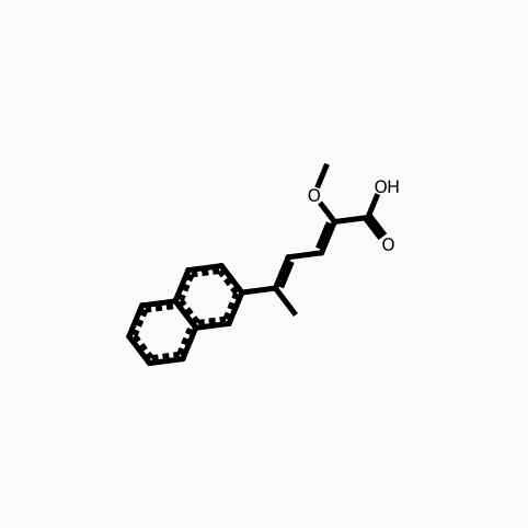 CO/C(=C\C=C(/C)c1ccc2ccccc2c1)C(=O)O